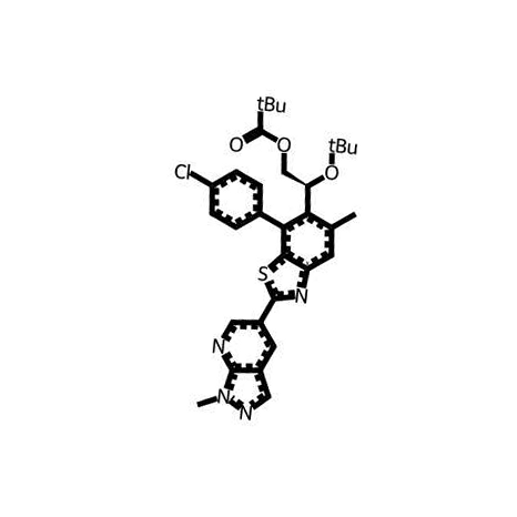 Cc1cc2nc(-c3cnc4c(cnn4C)c3)sc2c(-c2ccc(Cl)cc2)c1[C@@H](COC(=O)C(C)(C)C)OC(C)(C)C